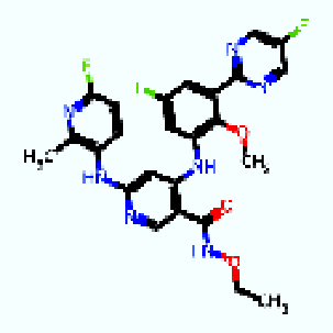 CCONC(=O)c1cnc(Nc2ccc(F)nc2C)cc1Nc1cc(F)cc(-c2ncc(F)cn2)c1OC